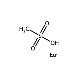 CS(=O)(=O)O.[Eu]